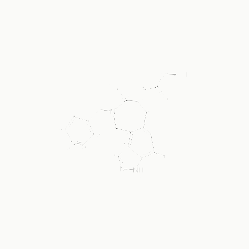 COC(=O)C[C@@H]1Cc2cc(Cl)c3[nH]ncc3c2CN(Cc2ccncc2)C1=O